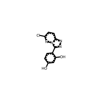 Oc1ccc(-c2nnc3ccc(Cl)nn23)c(O)c1